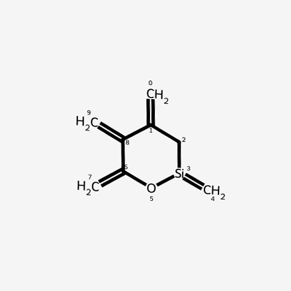 C=C1C[Si](=C)OC(=C)C1=C